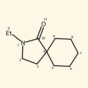 CCN1CCC2(CCCCC2)C1=O